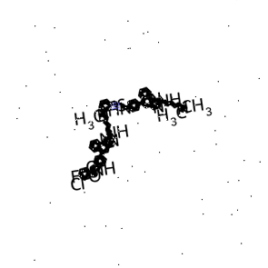 CN(C)CCCCNc1ncc2c(n1)-c1ccccc1C(c1ccc(NS/C=C/c3cccc(N(C)CCCCNc4ncc5c(n4)-c4ccccc4C(c4ccc(NS(=O)(=O)c6ccc(F)c(Cl)c6)cc4)C5)c3)cc1)C2